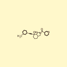 Cc1cccc(C#CC2(O)CCCC3CN(C(=O)c4cccnc4)CC32)c1